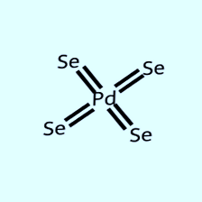 [Se]=[Pd](=[Se])(=[Se])=[Se]